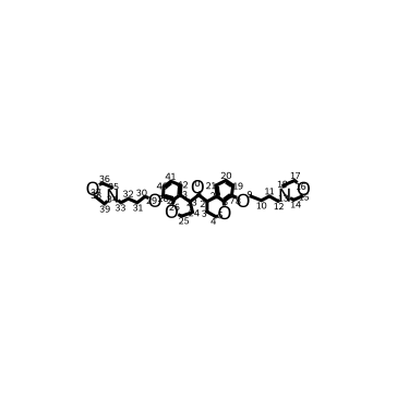 O=C(C1CCOc2c(OCCCCN3CCOCC3)cccc21)C1CCOc2c(OCCCCN3CCOCC3)cccc21